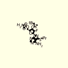 CC(C)Sc1nn([C@@H]2O[C@H](COS(N)(=O)=O)C(O[Si](C)(C)C(C)(C)C)[C@@H]2F)c2ncnc(N)c12